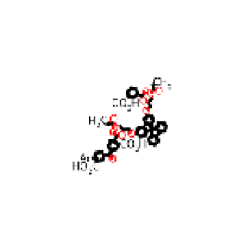 C=CC(=O)OCC(COc1ccc(C2(c3ccc(OCC(COC(=O)C=C)OC(=O)C4CC=CCC4C(=O)O)cc3)c3ccccc3-c3ccccc32)cc1)OC(=O)c1ccc(C(=O)c2ccc(C(C)=O)c(C(=O)O)c2)cc1C(=O)O